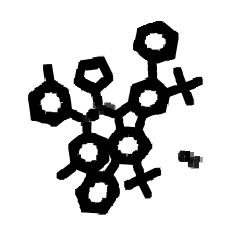 Cc1cccc([Si](c2cccc(C)c2)=[Zr+2]([C]2=CC=CC2)[CH]2c3cc(-c4ccccc4)c(C(C)(C)C)cc3-c3cc(C(C)(C)C)c(-c4ccccc4)cc32)c1.[Cl-].[Cl-]